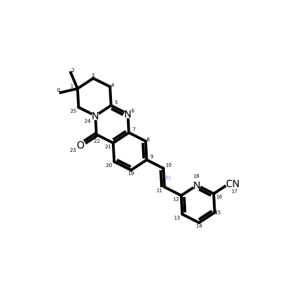 CC1(C)CCc2nc3cc(/C=C/c4cccc(C#N)n4)ccc3c(=O)n2C1